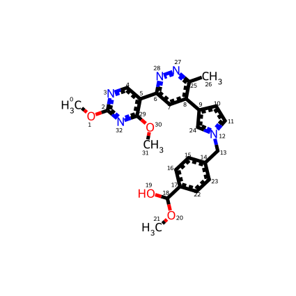 COc1ncc(-c2cc(-c3ccn(Cc4ccc(C(O)OC)cc4)c3)c(C)nn2)c(OC)n1